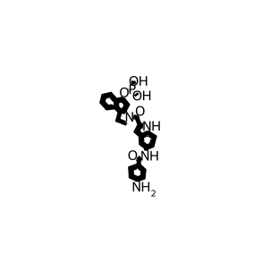 Nc1ccc(C(=O)Nc2ccc3[nH]c(C(=O)N4CCc5c4cc(OP(O)O)c4ccccc54)cc3c2)cc1